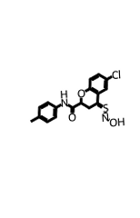 Cc1ccc(NC(=O)C2CC(=S=NO)c3cc(Cl)ccc3O2)cc1